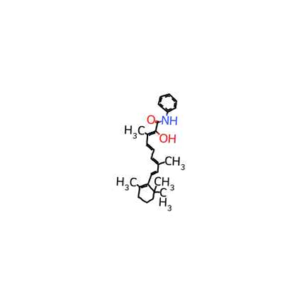 CC(C=CC1=C(C)CCCC1(C)C)=CC=CC(C)=C(O)C(=O)Nc1ccccc1